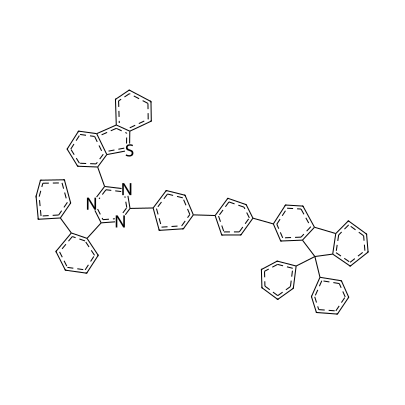 c1ccc(-c2ccccc2-c2nc(-c3ccc(-c4ccc(-c5ccc6c(c5)C(c5ccccc5)(c5ccccc5)c5ccccc5-6)cc4)cc3)nc(-c3cccc4c3sc3ccccc34)n2)cc1